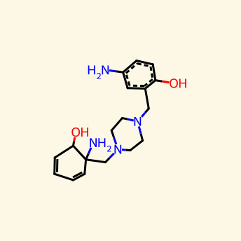 Nc1ccc(O)c(CN2CCN(CC3(N)C=CC=CC3O)CC2)c1